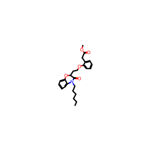 CCCCCCN1C(=O)C(CCOc2ccccc2CC(=O)OC)Oc2ccccc21